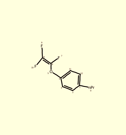 CCCc1ccc(OC(F)=C(F)F)cc1